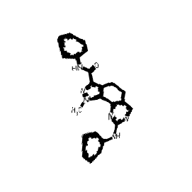 Cn1nc(C(=O)Nc2ccccc2)c2c1-c1nc(Nc3ccccc3)ncc1CC2